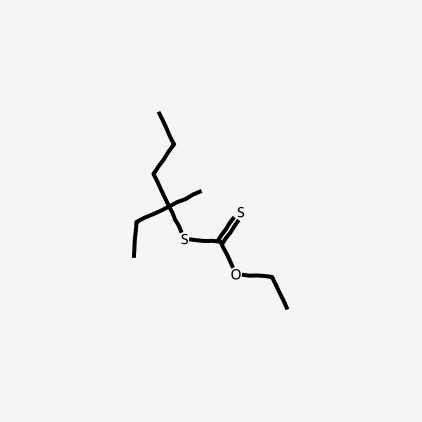 CCCC(C)(CC)SC(=S)OCC